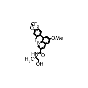 COc1cc(-c2ccc(OC(F)(F)F)cc2F)c2ncc(C(=O)N[C@H](C)CO)cc2c1